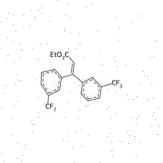 CCOC(=O)C=C(c1cccc(C(F)(F)F)c1)c1cccc(C(F)(F)F)c1